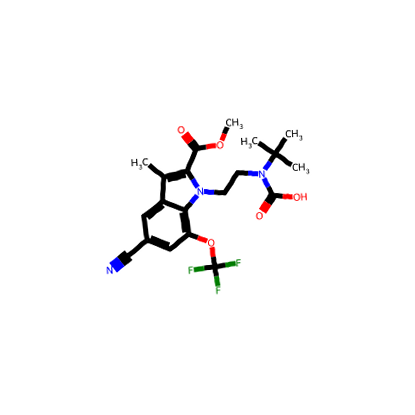 COC(=O)c1c(C)c2cc(C#N)cc(OC(F)(F)F)c2n1CCN(C(=O)O)C(C)(C)C